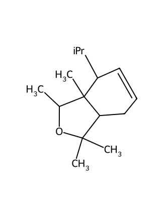 CC(C)C1C=CCC2C(C)(C)OC(C)C12C